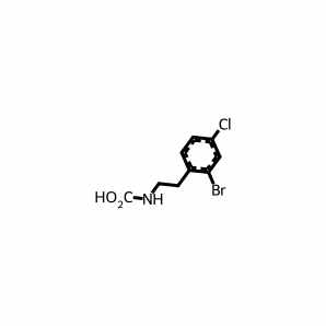 O=C(O)NCCc1ccc(Cl)cc1Br